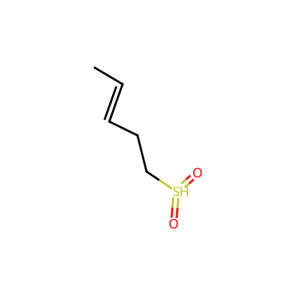 CC=CCC[SH](=O)=O